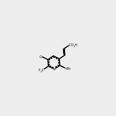 CCCCc1nc(C(F)(F)F)c(Cl)cc1C=CC(=O)O